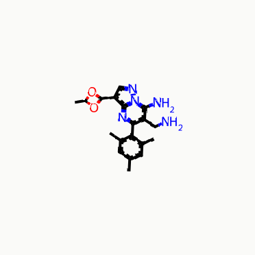 Cc1cc(C)c(-c2nc3c(C4OC(C)O4)cnn3c(N)c2CN)c(C)c1